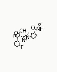 Cc1onc(-c2cccc(F)c2)c1-c1cn(-c2cccc(C(=O)NC3CC3)c2)cn1